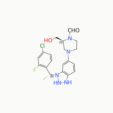 C[C@H](c1ccc(Cl)cc1F)N1NNc2ccc(N3CCN(C=O)[C@H](CO)C3)cc21